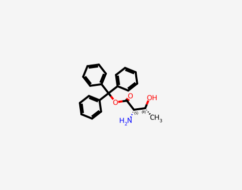 C[C@@H](O)[C@H](N)C(=O)OC(c1ccccc1)(c1ccccc1)c1ccccc1